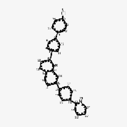 Clc1ccc(-c2ccc(-c3ccc4ccc(-c5ccc(-c6ccccn6)cc5)cc4c3)cc2)cc1